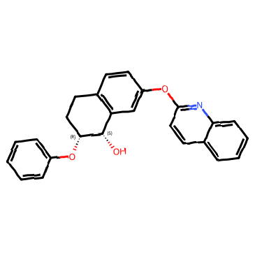 O[C@H]1c2cc(Oc3ccc4ccccc4n3)ccc2CC[C@H]1Oc1ccccc1